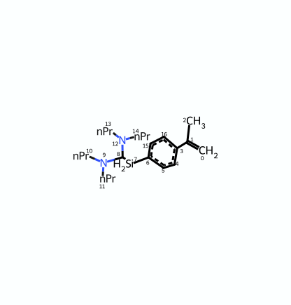 C=C(C)c1ccc([SiH2]C(N(CCC)CCC)N(CCC)CCC)cc1